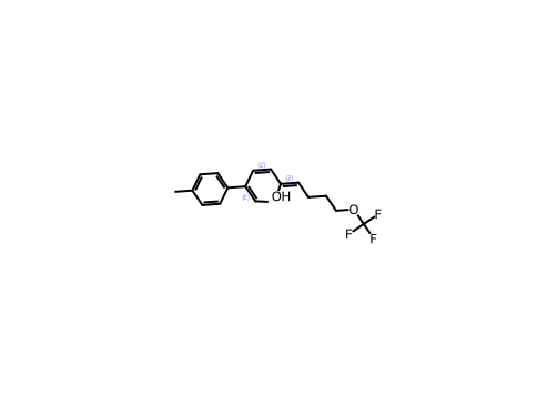 C\C=C(/C=C\C(O)=C\CCCOC(F)(F)F)c1ccc(C)cc1